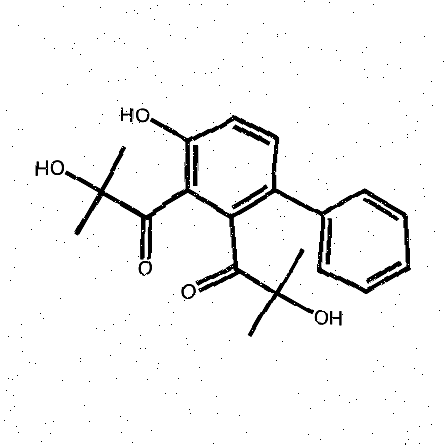 CC(C)(O)C(=O)c1c(O)ccc(-c2ccccc2)c1C(=O)C(C)(C)O